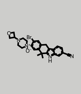 CC1(C)c2cc([N+]3([O-])CCN(C4COC4)CC3)c(Br)cc2Cc2c1[nH]c1cc(C#N)ccc21